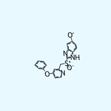 COc1ccc2[nH]c([S+]([O-])Cc3cc(Oc4ccccc4)ccn3)nc2c1